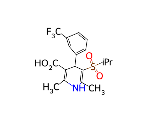 CC1=C(C(=O)O)C(c2cccc(C(F)(F)F)c2)C(S(=O)(=O)C(C)C)=C(C)N1